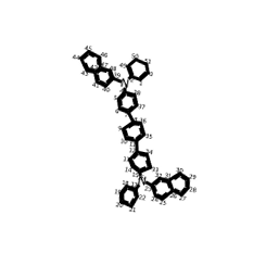 C1=CC(N(c2ccc(-c3ccc(-c4ccc(N(c5ccccc5)c5ccc6ccccc6c5)cc4)cc3)cc2)c2ccc3ccccc3c2)=CCC1